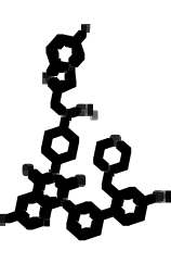 CN(Cc1cn2cc(F)ccc2n1)C1CCC(n2c(=O)c3cc(F)cnc3n(-c3cccc(-c4ccc(O)cc4CN4CCOCC4)c3)c2=O)CC1